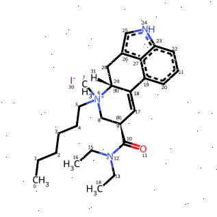 CCCCCC[N+]1(C)C[C@H](C(=O)N(CC)CC)C=C2c3cccc4[nH]cc(c34)C[C@H]21.[I-]